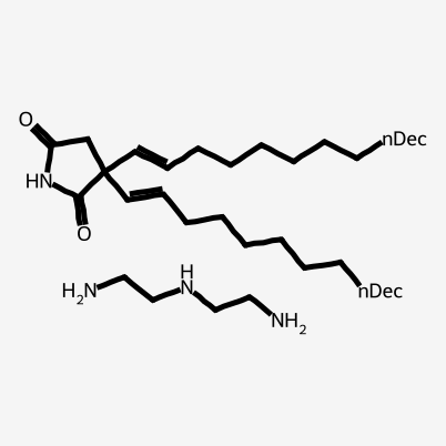 CCCCCCCCCCCCCCCCC=CC1(C=CCCCCCCCCCCCCCCCC)CC(=O)NC1=O.NCCNCCN